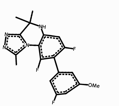 COc1cc(F)cc(-c2c(F)cc3c(c2F)-n2c(C)nnc2C(C)(C)N3)c1